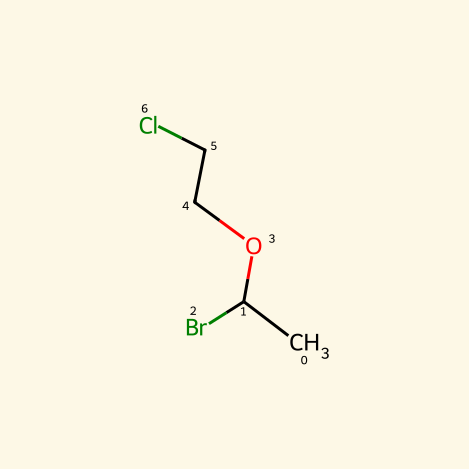 CC(Br)OCCCl